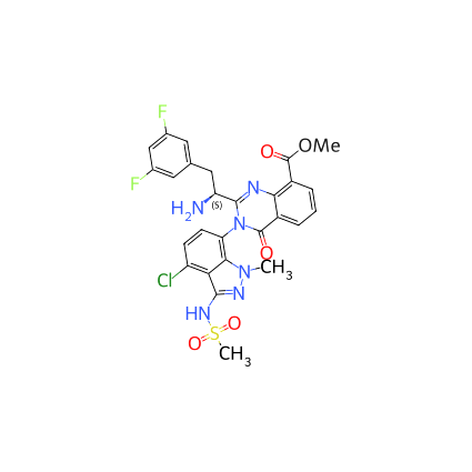 COC(=O)c1cccc2c(=O)n(-c3ccc(Cl)c4c(NS(C)(=O)=O)nn(C)c34)c([C@@H](N)Cc3cc(F)cc(F)c3)nc12